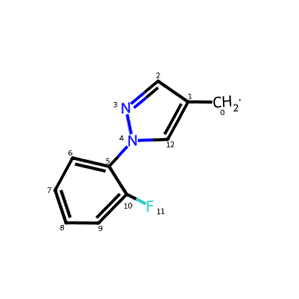 [CH2]c1cnn(-c2ccccc2F)c1